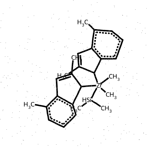 CC1=Cc2c(C)cccc2[CH]1[Zr]([CH3])([CH3])([CH]1C(C)=Cc2c(C)cccc21)[SiH](C)C